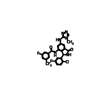 Cn1cnnc1Nc1cc(NC(=O)c2cc(F)cc(C(F)(F)F)c2)c2c(c1)C(=O)NC2c1cc(F)ccc1Cl